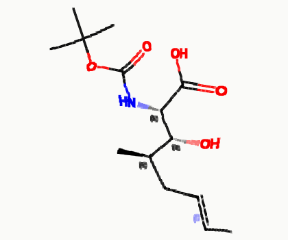 C/C=C/C[C@@H](C)[C@@H](O)[C@H](NC(=O)OC(C)(C)C)C(=O)O